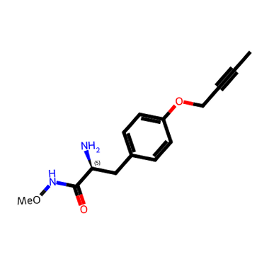 CC#CCOc1ccc(C[C@H](N)C(=O)NOC)cc1